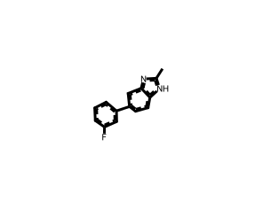 Cc1nc2cc(-c3cccc(F)c3)ccc2[nH]1